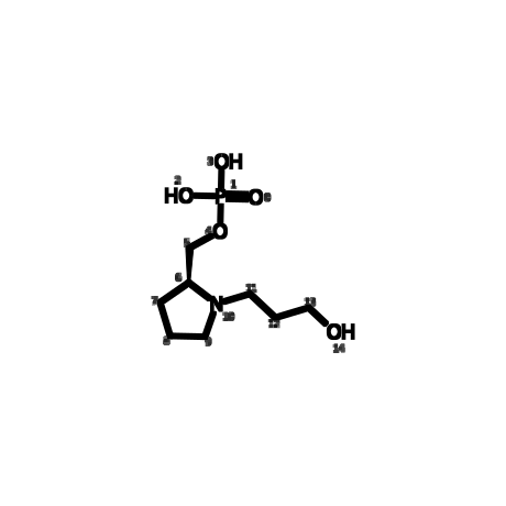 O=P(O)(O)OC[C@@H]1CCCN1CCCO